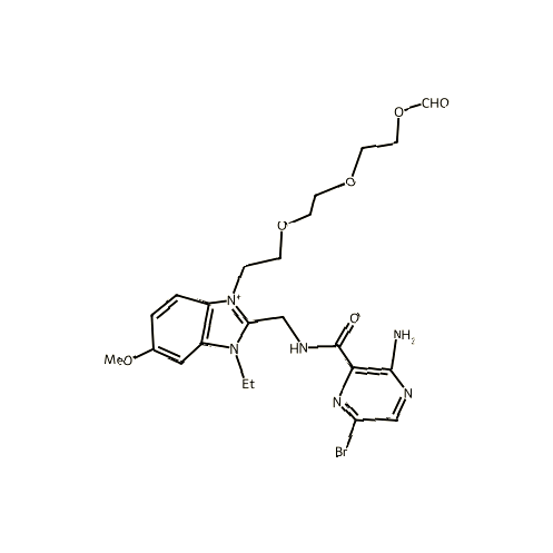 CCn1c(CNC(=O)c2nc(Br)cnc2N)[n+](CCOCCOCCOC=O)c2ccc(OC)cc21